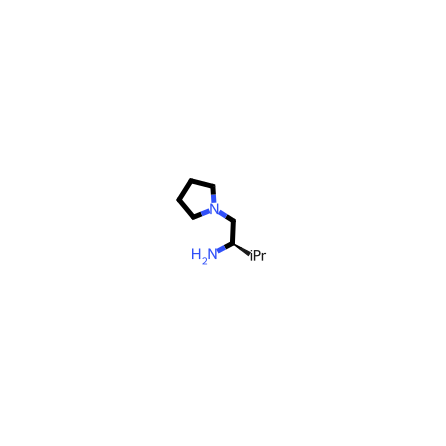 CC(C)[C@@H](N)CN1CCCC1